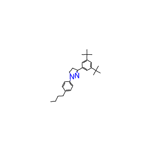 CCCCc1ccc(N2CCC(c3cc(C(C)(C)C)cc(C(C)(C)C)c3)=N2)cc1